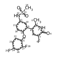 Cc1[nH]c(=O)c(F)cc1-c1cc(NS(C)(=O)=O)ccc1Oc1ccc(F)cc1F